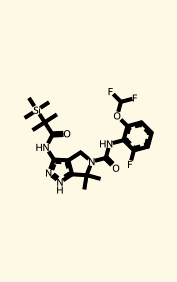 CC1(C)c2[nH]nc(NC(=O)C(C)(C)[Si](C)(C)C)c2CN1C(=O)Nc1c(F)cccc1OC(F)F